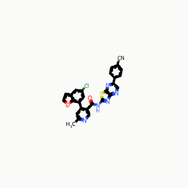 Cc1cc(-c2cc(Cl)cc3ccoc23)c(C(=O)Nc2nc3ncc(-c4ccc(C#N)cc4)nc3s2)cn1